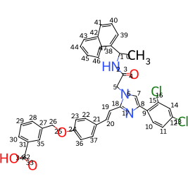 CC(NC(=O)Cn1cc(-c2ccc(Cl)cc2Cl)nc1/C=C/c1ccc(OCc2cccc(C(=O)O)c2)cc1)c1cccc2ccccc12